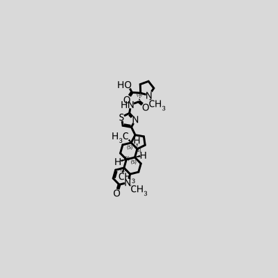 CN1C(=O)C=C[C@@]2(C)C1CC[C@@H]1[C@H]2CC[C@]2(C)C(c3csc(NC(=O)[C@]4(C(=O)O)CCCN4C)n3)CC[C@@H]12